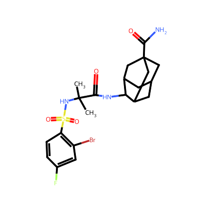 CC(C)(NS(=O)(=O)c1ccc(F)cc1Br)C(=O)NC1C2CC3CC1CC(C(N)=O)(C3)C2